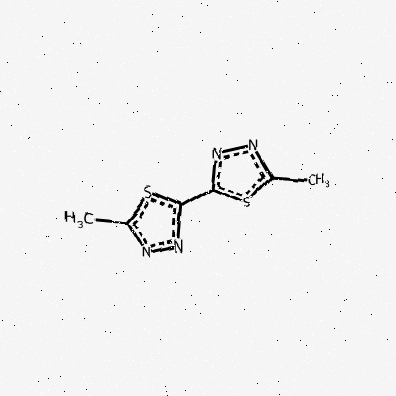 Cc1nnc(-c2nnc(C)s2)s1